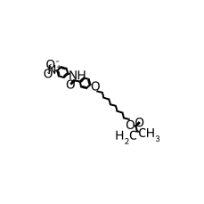 C=C(C)C(=O)OCCCCCCCCCCOc1ccc(C(=O)Nc2ccc([N+](=O)[O-])cc2)cc1